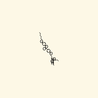 CCCCCCOc1ccc(OC(=O)c2ccc(OCCC[SiH](OCCC)OCCC)cc2)cc1